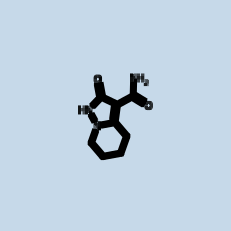 NC(=O)c1c2n([nH]c1=O)CCCC2